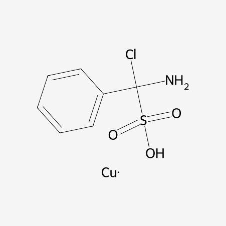 NC(Cl)(c1ccccc1)S(=O)(=O)O.[Cu]